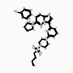 CCCCS(=O)(=O)N1CCN(c2cccc(-c3cnc4ccc(N5CCC[C@@H]5c5cccc(F)c5)nn34)n2)CC1